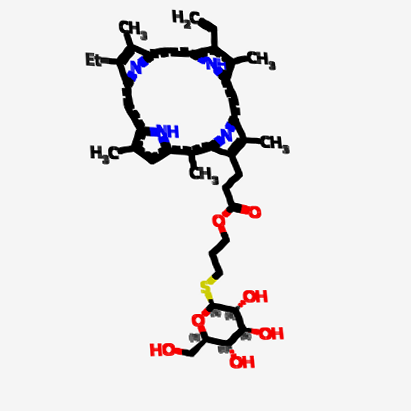 C=Cc1c(C)c2cc3nc(c(C)c4cc(C)c(cc5nc(cc1[nH]2)C(C)=C5CC)[nH]4)C(CCC(=O)OCCCS[C@@H]1O[C@H](CO)[C@@H](O)[C@H](O)[C@H]1O)=C3C